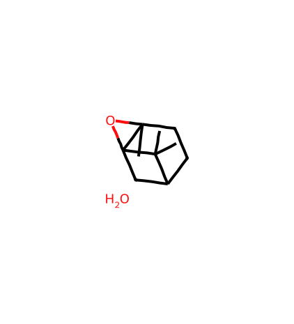 CC12CCC3CC1(O2)C3(C)C.O